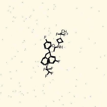 CC(F)(F)[C@H]1C[C@H](NC(=O)C[C@](Cc2ccccc2)(c2ccc(F)cc2)c2cc(F)cc(OC(F)(F)C(F)F)c2)C1